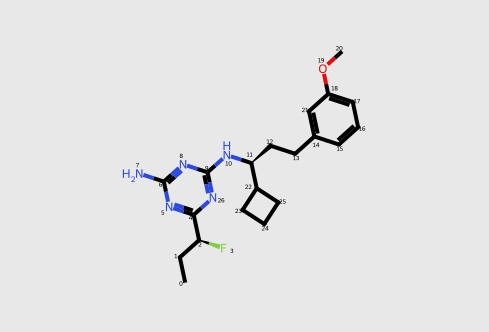 CC[C@H](F)c1nc(N)nc(N[C@@H](CCc2cccc(OC)c2)C2CCC2)n1